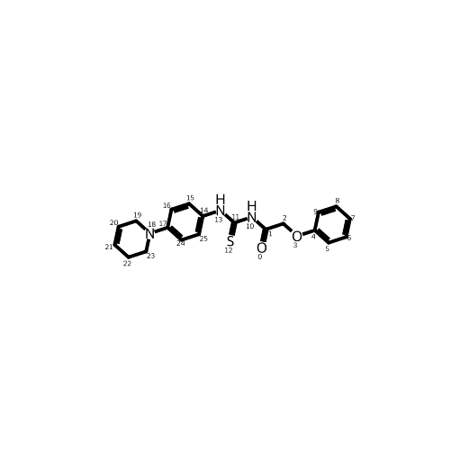 O=C(COc1ccccc1)NC(=S)Nc1ccc(N2CC=CCC2)cc1